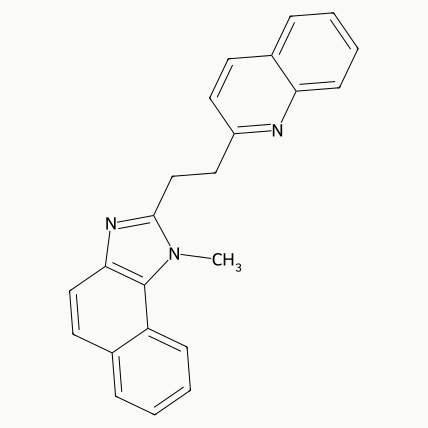 Cn1c(CCc2ccc3ccccc3n2)nc2ccc3ccccc3c21